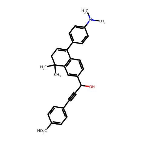 CN(C)c1ccc(C2=CCC(C)(C)c3cc(C(O)C#Cc4ccc(C(=O)O)cc4)ccc32)cc1